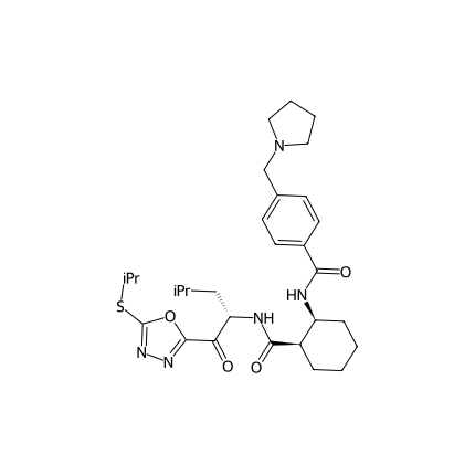 CC(C)C[C@H](NC(=O)[C@@H]1CCCC[C@@H]1NC(=O)c1ccc(CN2CCCC2)cc1)C(=O)c1nnc(SC(C)C)o1